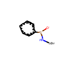 CCCCN[S+]([O-])c1ccccc1